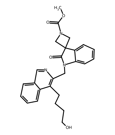 COC(=O)N1CC2(C1)C(=O)N(Cc1ncc3ccccc3c1CCCCO)c1ccccc12